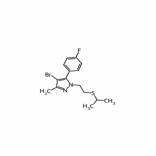 Cc1nn(CCSC(C)C)c(-c2ccc(F)cc2)c1Br